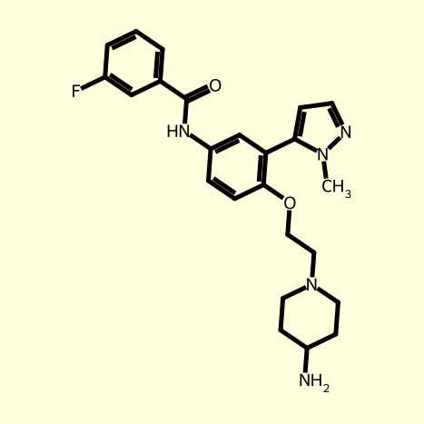 Cn1nccc1-c1cc(NC(=O)c2cccc(F)c2)ccc1OCCN1CCC(N)CC1